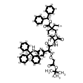 CC(C)(C)OC(=O)CON=C(C(=O)NC1C(=O)N2CC(CI)(C(=O)OC(c3ccccc3)c3ccccc3)CS[C@H]12)c1csc(NC(c2ccccc2)(c2ccccc2)c2ccccc2)n1